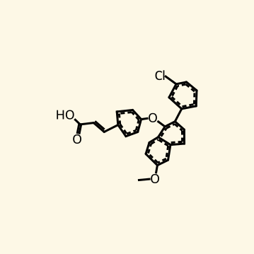 COc1ccc2c(Oc3ccc(/C=C/C(=O)O)cc3)c(-c3cccc(Cl)c3)ccc2c1